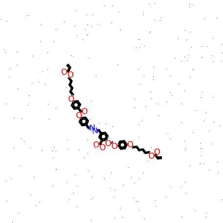 C=CC(=O)OCCCCCCOc1ccc(OCOc2ccc(/C=N/N=C/c3ccc(OC(=O)c4ccc(OCCCCCCOC(=O)C=C)cc4)cc3)cc2C(=O)OC)cc1